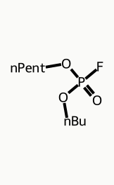 CCCCCOP(=O)(F)OCCCC